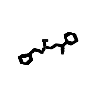 O=C(CCP(O)OCc1ccccc1)c1ccccc1